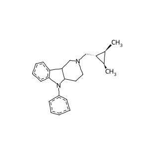 C[C@@H]1[C@H](C)[C@H]1CN1CCC2C(C1)c1ccccc1N2c1ccccc1